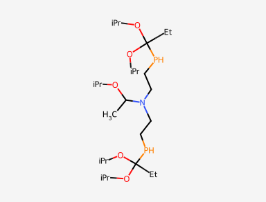 CCC(OC(C)C)(OC(C)C)PCCN(CCPC(CC)(OC(C)C)OC(C)C)C(C)OC(C)C